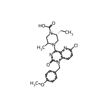 CC[C@@H]1CN(c2nc(=O)n(Cc3ccc(OC)cc3)c3ccc(Cl)nc23)C(C)CN1C(=O)O